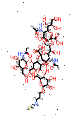 CC(=O)NC1[C@H](O[C@H]2C(CO)O[C@@H](O[C@@H]3C(CO)O[C@@H](OCCCN=C=S)C(O)[C@H]3O)C(O)[C@H]2O[C@]2(C(=O)O)C[C@@H](O)[C@@H](NC(C)=O)C([C@H](O)[C@@H](CO)O[C@]3(C(=O)O)C[C@@H](O)[C@@H](NC(C)=O)C([C@H](O)[C@H](O)CO)O3)O2)OC(CO)[C@@H](O)[C@@H]1O